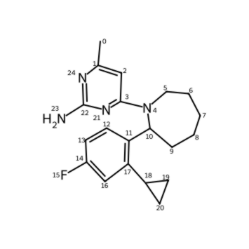 Cc1cc(N2CCCCCC2c2ccc(F)cc2C2CC2)nc(N)n1